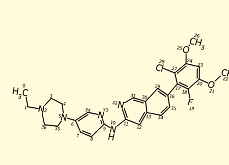 CCN1CCN(c2ccc(Nc3cc4ccc(-c5c(F)c(OC)cc(OC)c5Cl)cc4cn3)nc2)CC1